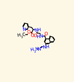 CCOC(=O)C(Cc1cccnc1)NC(=O)CNC(=O)c1cc(NC=NN)cc2ccccc12